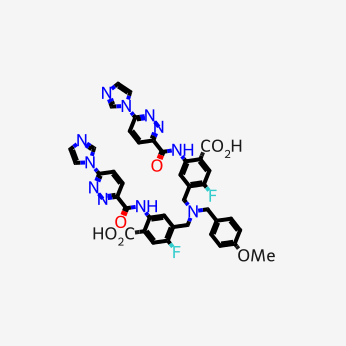 COc1ccc(CN(Cc2cc(NC(=O)c3ccc(-n4ccnc4)nn3)c(C(=O)O)cc2F)Cc2cc(NC(=O)c3ccc(-n4ccnc4)nn3)c(C(=O)O)cc2F)cc1